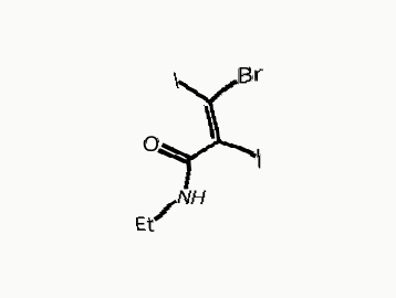 CCNC(=O)/C(I)=C(/Br)I